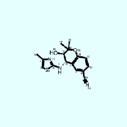 Cc1csc(N[C@H]2c3cc(C#N)ccc3OC(C)(C)[C@@H]2O)n1